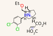 CCOC[C@H]1[C@@H]2CC[C@H](C[C@H]1c1ccc(Cl)c(Cl)c1)N2.O=C(O)/C=C/C(=O)O